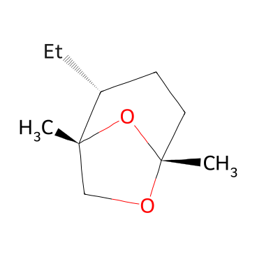 CC[C@@H]1CC[C@]2(C)OC[C@@]1(C)O2